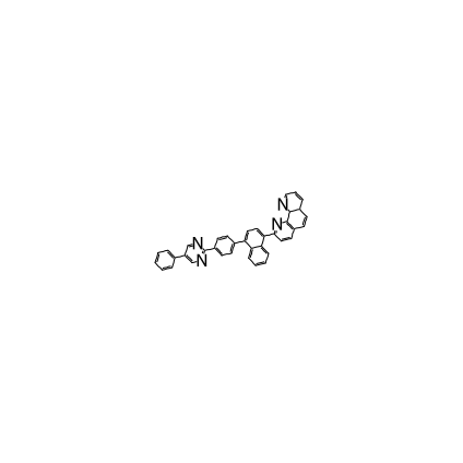 C1=CC2C=Cc3ccc(-c4ccc(-c5ccc(-c6ncc(-c7ccccc7)cn6)cc5)c5ccccc45)nc3C2N=C1